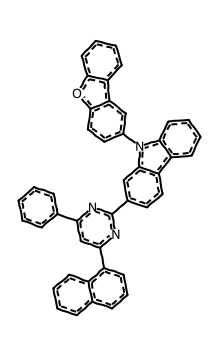 c1ccc(-c2cc(-c3cccc4ccccc34)nc(-c3ccc4c5ccccc5n(-c5ccc6oc7ccccc7c6c5)c4c3)n2)cc1